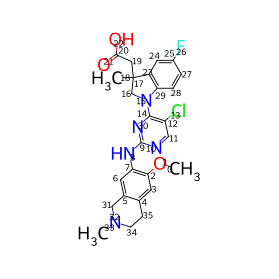 COc1cc2c(cc1Nc1ncc(Cl)c(N3CC(C)(CC(=O)O)c4cc(F)ccc43)n1)CN(C)CC2